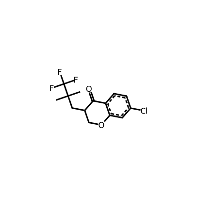 CC(C)(CC1COc2cc(Cl)ccc2C1=O)C(F)(F)F